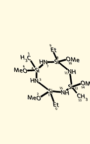 CC[Si]1(OC)N[Si](C)(OC)N[Si](CC)(OC)N[Si](C)(OC)N1